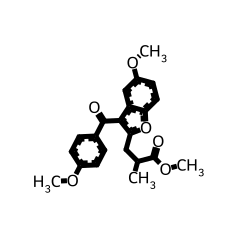 COC(=O)C(C)Cc1oc2ccc(OC)cc2c1C(=O)c1ccc(OC)cc1